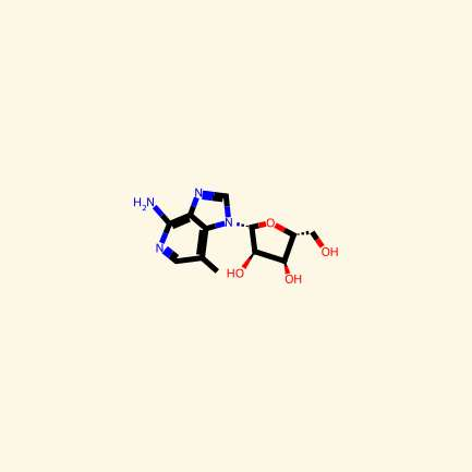 Cc1cnc(N)c2ncn([C@@H]3O[C@H](CO)[C@@H](O)[C@H]3O)c12